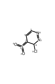 O=S(=O)=C1C=CN=NC1Cl